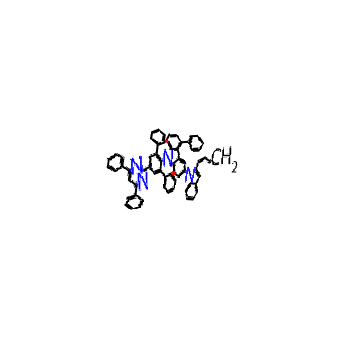 C=C/C=C\c1cc2ccccc2n1-c1ccc2c(c1)c1c(-c3ccccc3)cccc1n2-c1c(-c2ccccc2)cc(-c2nc(-c3ccccc3)cc(-c3ccccc3)n2)cc1-c1ccccc1